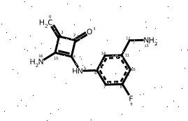 C=C1C(=O)C(Nc2cc(F)cc(CN)c2)=C1N